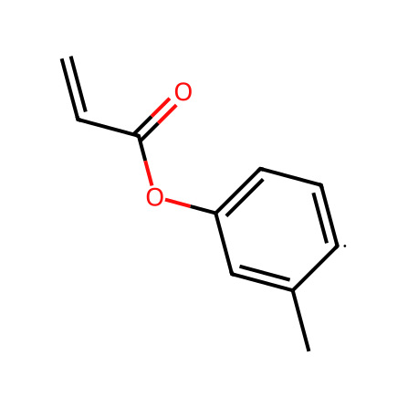 C=CC(=O)Oc1cc[c]c(C)c1